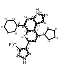 FC(F)(F)c1n[nH]cc1-c1cc(C2CCCC2)c2c(n1)c(N1CCCCC1)cc1[nH]ncc12